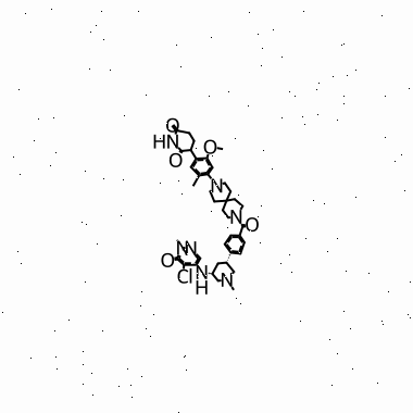 COc1cc(N2CCC3(CCN(C(=O)c4ccc([C@H]5C[C@@H](Nc6cnn(C)c(=O)c6Cl)CN(C)C5)cc4)CC3)CC2)c(C)cc1C1CCC(=O)NC1=O